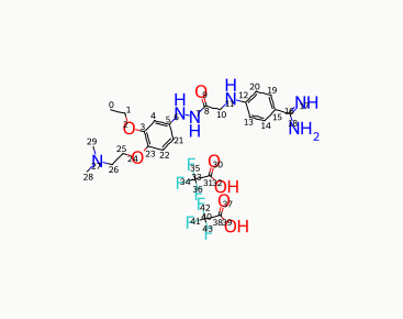 CCOc1cc(NNC(=O)CNc2ccc(C(=N)N)cc2)ccc1OCCN(C)C.O=C(O)C(F)(F)F.O=C(O)C(F)(F)F